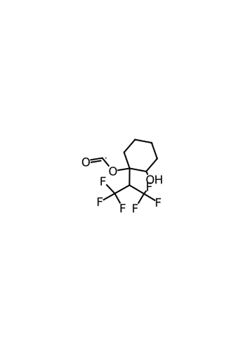 O=[C]OC1(C(C(F)(F)F)C(F)(F)F)CCCCC1O